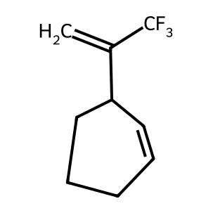 C=C(C1C=CCCC1)C(F)(F)F